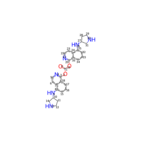 O=C(Oc1nccc2c(NC3CCNC3)cccc12)Oc1nccc2c(NC3CCNC3)cccc12